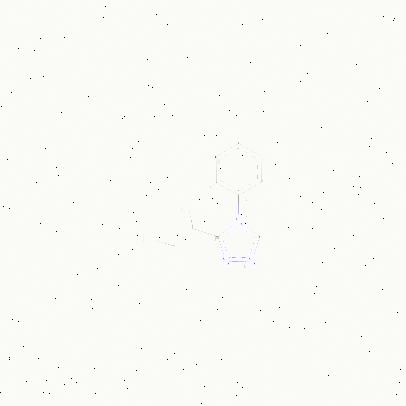 SCC(S)c1nncn1-c1ccccc1